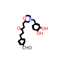 O=Cc1ccc(CCC(=O)CCC2CN(Cc3ccc(O)c(O)c3)CCO2)cc1